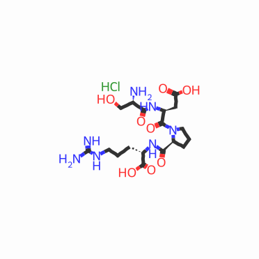 Cl.N=C(N)NCCC[C@H](NC(=O)[C@@H]1CCCN1C(=O)[C@H](CC(=O)O)NC(=O)[C@@H](N)CO)C(=O)O